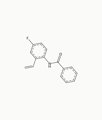 C=Cc1cc(F)ccc1NC(=O)c1ccccc1